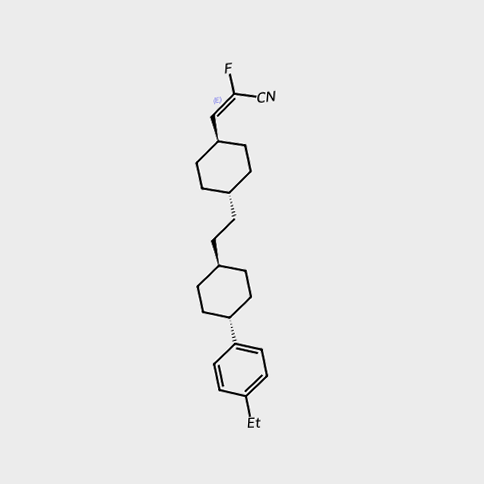 CCc1ccc([C@H]2CC[C@H](CC[C@H]3CC[C@H](/C=C(/F)C#N)CC3)CC2)cc1